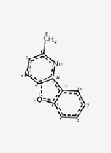 Cc1cnc2oc3ccccc3c2n1